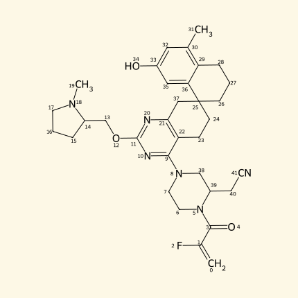 C=C(F)C(=O)N1CCN(c2nc(OCC3CCCN3C)nc3c2CCC2(CCCc4c(C)cc(O)cc42)C3)CC1CC#N